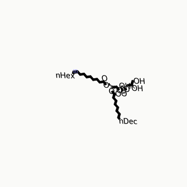 CCCCCC/C=C\CCCCCCCC(=O)OC[C@H](COP(=O)(O)OC[C@@H](O)CO)OC(=O)CCCCCCCCCCCCCCCCC